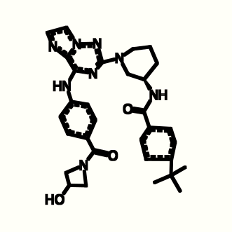 CC(C)(C)c1ccc(C(=O)N[C@@H]2CCCN(c3nc(Nc4ccc(C(=O)N5CC(O)C5)cc4)c4nccn4n3)C2)cc1